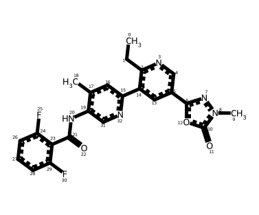 CCc1ncc(-c2nn(C)c(=O)o2)cc1-c1cc(C)c(NC(=O)c2c(F)cccc2F)cn1